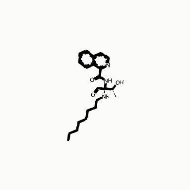 CCCCCCCCN[C@](C=O)(NC(=O)c1nccc2ccccc12)[C@@H](C)O